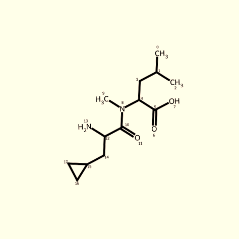 CC(C)CC(C(=O)O)N(C)C(=O)C(N)CC1CC1